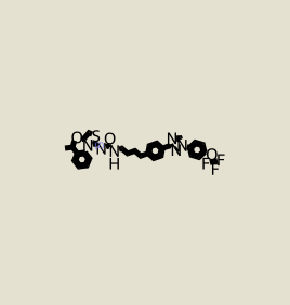 CC(C)c1ccccc1N1C(=O)CS/C1=N\C(=O)NCCCCc1ccc(-c2ncn(-c3ccc(OC(F)(F)F)cc3)n2)cc1